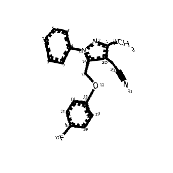 Cc1nn(-c2ccccc2)c(COc2ccc(F)cc2)c1C#N